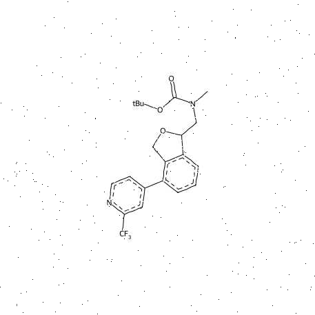 CN(CC1OCc2c(-c3ccnc(C(F)(F)F)c3)cccc21)C(=O)OC(C)(C)C